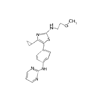 COCCNc1nc(C2CC2)c(-c2ccc(Nc3ncccn3)cc2)s1